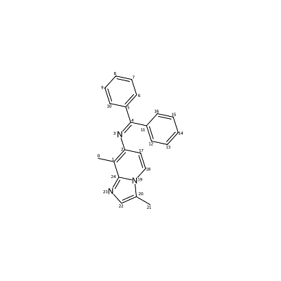 Cc1c(N=C(c2ccccc2)c2ccccc2)ccn2c(C)cnc12